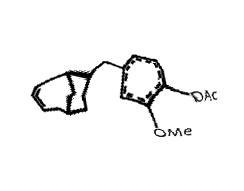 COc1cc(CC2CC3C=CC2C3)ccc1OC(C)=O